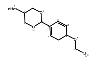 CCCCCCC1COC(C2=CCC(OCC(F)(F)F)C=C2)OC1